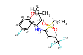 CCS(=O)(=O)C(CCC(F)(F)F)NC1CC(C)(C)Oc2ccc(F)cc21